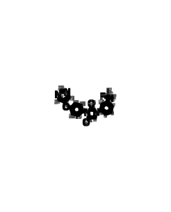 O=C1CN(c2cccc(C(F)(F)F)c2)C(=O)N1c1ccc(Oc2cncnc2)cc1